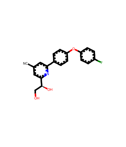 N#Cc1cc(-c2ccc(Oc3ccc(F)cc3)cc2)nc([C@@H](O)CO)c1